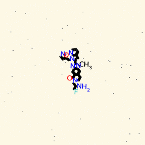 Cn1c(-c2cc3cccnc3n2Cc2ccno2)nc2cc3c(cc21)CCN(C[C@H](N)CF)C3=O